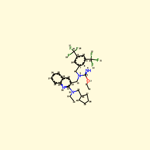 CCOC(=N)N(Cc1cc(C(F)(F)F)cc(C(F)(F)F)c1)Cc1cc2ccccc2nc1N(CC)CC1CCCC1